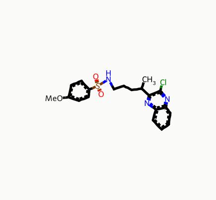 COc1ccc(S(=O)(=O)NCCCC(C)c2nc3ccccc3nc2Cl)cc1